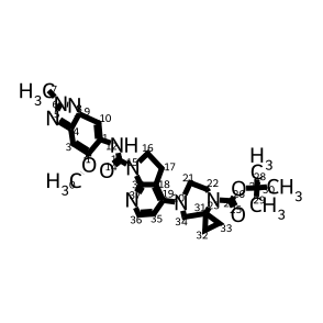 COc1cc2nn(C)nc2cc1NC(=O)N1CCc2c(N3CCN(C(=O)OC(C)(C)C)C4(CC4)C3)ccnc21